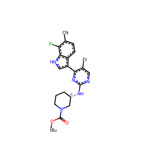 CCc1cnc(N[C@H]2CCCN(C(=O)OC(C)(C)C)C2)nc1-c1c[nH]c2c(F)c(C#N)ccc12